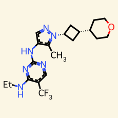 CCNc1nc(Nc2cnn([C@H]3C[C@@H](C4CCOCC4)C3)c2C)ncc1C(F)(F)F